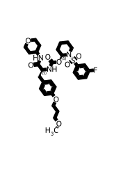 COCCCOc1ccc(C[C@H](NC(=O)O[C@H]2CCCCN2S(=O)(=O)c2cccc(F)c2)C(=O)NC2CCOCC2)cc1